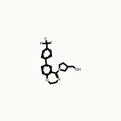 OCC1CCN(C2=NCCOc3ccc(-c4ccc(C(F)(F)F)cc4)cc32)C1